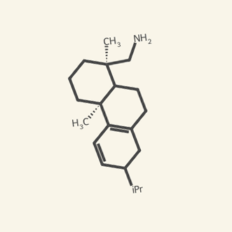 CC(C)C1C=CC2=C(CCC3[C@](C)(CN)CCC[C@]23C)C1